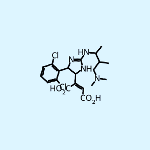 CC(CN(C)C)C(C)NC1=NC(c2c(Cl)cccc2Cl)C(/C(=C/C(=O)O)C(=O)O)N1